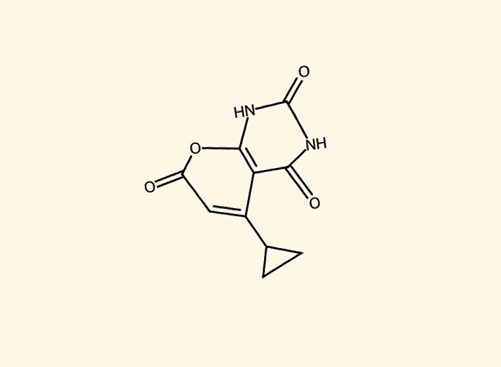 O=c1[nH]c(=O)c2c(C3CC3)cc(=O)oc2[nH]1